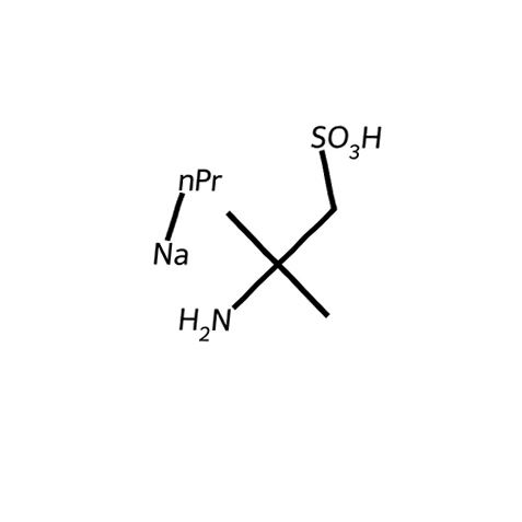 CC(C)(N)CS(=O)(=O)O.CC[CH2][Na]